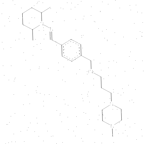 CC1CCCC(C)N1N=Cc1ccc(CNCCCN2CCN(C)CC2)cc1